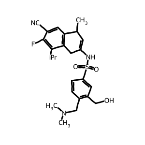 CC(C)c1c(F)c(C#N)cc2c1CC(NS(=O)(=O)c1ccc(CN(C)C)c(CO)c1)=CC2C